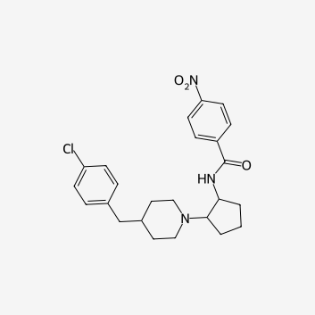 O=C(NC1CCCC1N1CCC(Cc2ccc(Cl)cc2)CC1)c1ccc([N+](=O)[O-])cc1